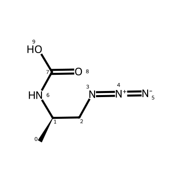 C[C@H](CN=[N+]=[N-])NC(=O)O